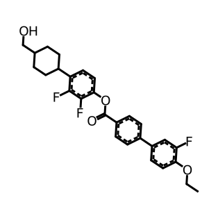 CCOc1ccc(-c2ccc(C(=O)Oc3ccc(C4CCC(CO)CC4)c(F)c3F)cc2)cc1F